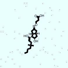 CCCCC(C)(C)C/C=C(/O)[C@H]1[C@@H]2C/C(=N/OCCC(=O)O)C[C@@H]2C[C@@H]1O